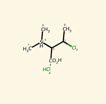 CC(Cl)C(C(=O)O)[SiH](C)C.Cl